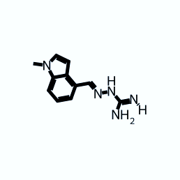 [H]/N=C(\N)NN=Cc1cccc2c1ccn2C